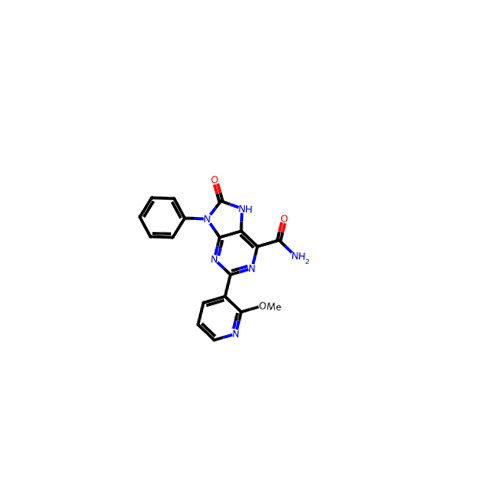 COc1ncccc1-c1nc(C(N)=O)c2[nH]c(=O)n(-c3ccccc3)c2n1